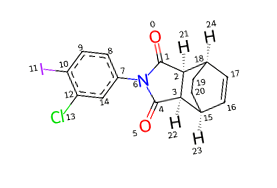 O=C1[C@@H]2[C@H](C(=O)N1c1ccc(I)c(Cl)c1)[C@@H]1C=C[C@H]2CC1